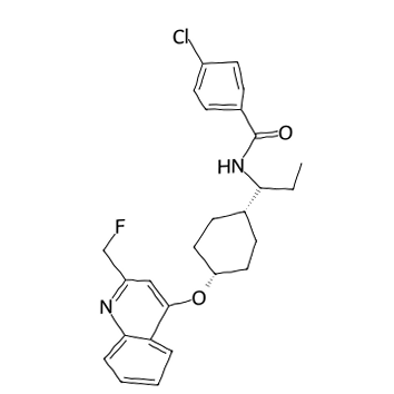 CCC(NC(=O)c1ccc(Cl)cc1)[C@H]1CC[C@@H](Oc2cc(CF)nc3ccccc23)CC1